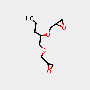 CCCC(COCC1CO1)OCC1CO1